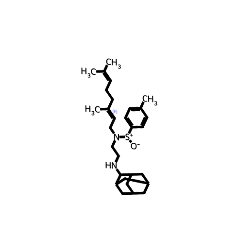 CC(C)=CCC/C(C)=C/CN(CCNC1C2CC3CC(C2)CC1C3)[S+]([O-])c1ccc(C)cc1